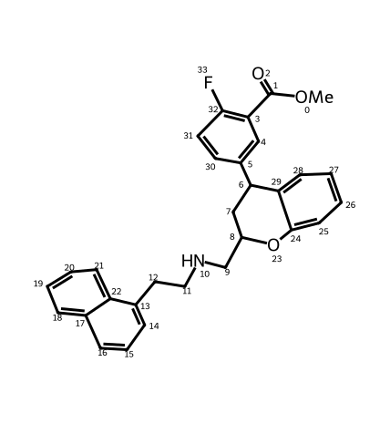 COC(=O)c1cc(C2CC(CNCCc3cccc4ccccc34)Oc3ccccc32)ccc1F